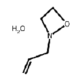 C=CCN1CCO1.O